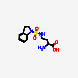 NC(CCNS(=O)(=O)N1CCc2ccccc21)C(=O)O